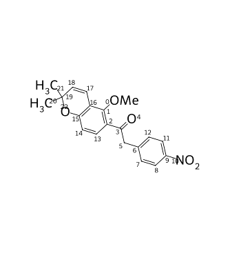 COc1c(C(=O)Cc2ccc([N+](=O)[O-])cc2)ccc2c1C=CC(C)(C)O2